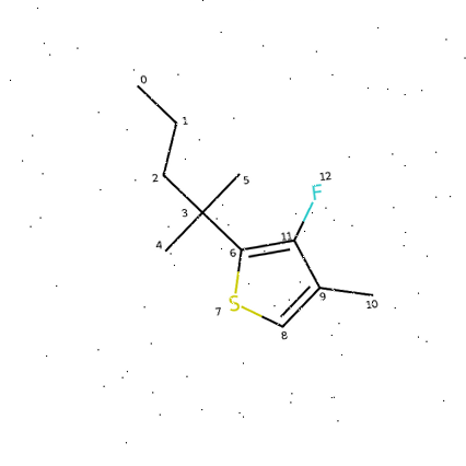 CCCC(C)(C)c1scc(C)c1F